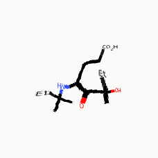 CCC(C)(C)NC(CCC(=O)O)C(=O)C(C)(O)CC